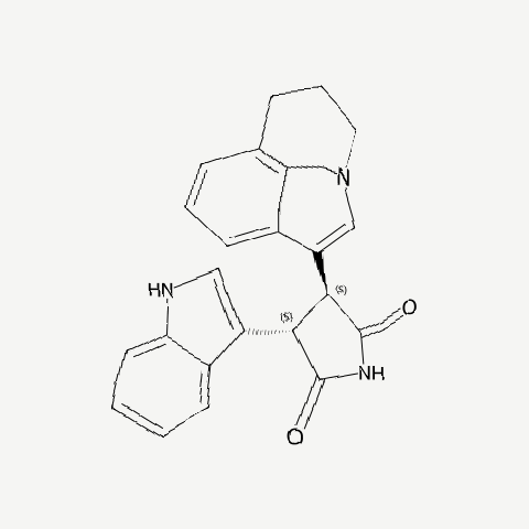 O=C1NC(=O)[C@H](c2cn3c4c(cccc24)CCC3)[C@H]1c1c[nH]c2ccccc12